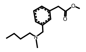 CCCCN(C)Cc1cccc(CC(=O)OC)c1